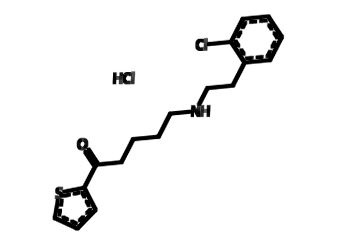 Cl.O=C(CCCCNCCc1ccccc1Cl)c1cccs1